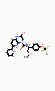 COCC(NC(=O)N1CC(=O)Nc2ccc(-c3ccccn3)nc21)c1ccc(OC(F)(F)F)cc1